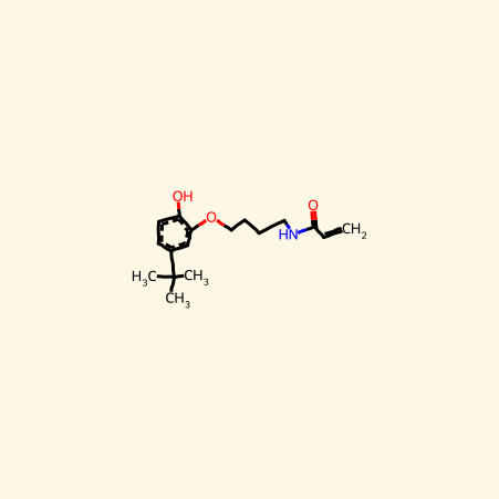 C=CC(=O)NCCCCOc1cc(C(C)(C)C)ccc1O